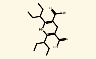 CCC(CC)C1=C(C(=O)O)CC(C(=O)O)=C(C(CC)CC)N1